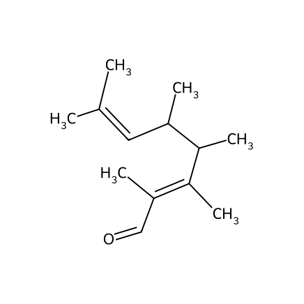 CC(C)=CC(C)C(C)/C(C)=C(\C)C=O